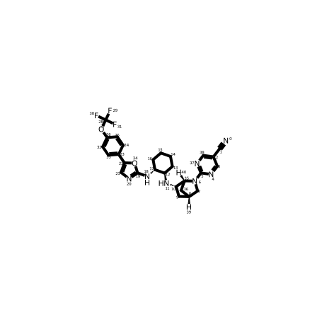 N#Cc1cnc(N2C[C@@H]3C[C@H](N[C@@H]4CCCC[C@H]4Nc4ncc(-c5ccc(OC(F)(F)F)cc5)o4)[C@H]2C3)nc1